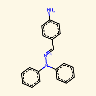 Nc1ccc(/C=N/N(c2ccccc2)c2ccccc2)cc1